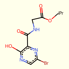 CC(C)OC(=O)CNC(=O)c1nc(Br)cnc1O